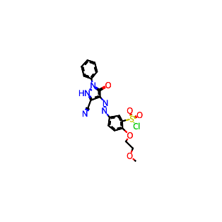 COCCOc1ccc(/N=N/c2c(C#N)[nH]n(-c3ccccc3)c2=O)cc1S(=O)(=O)Cl